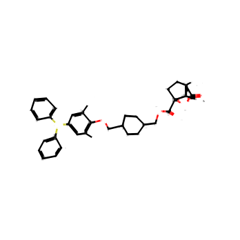 Cc1cc([S+](c2ccccc2)c2ccccc2)cc(C)c1OCC1CCC(COC(=O)C23CCC(C)(C(=O)O2)C3(C)C)CC1